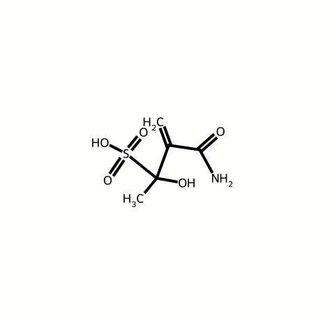 C=C(C(N)=O)C(C)(O)S(=O)(=O)O